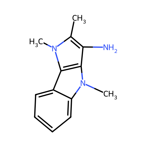 Cc1c(N)c2c(c3ccccc3n2C)n1C